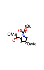 COC(=O)C1C[C@H](OC)CN1C(=O)OC(C)(C)C